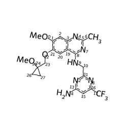 COc1cc2nc(C)nc(NCc3nc(N)cc(C(F)(F)F)n3)c2cc1OCC1(OC)CC1